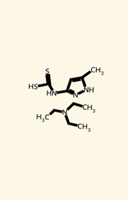 CCN(CC)CC.Cc1cc(NC(=S)S)n[nH]1